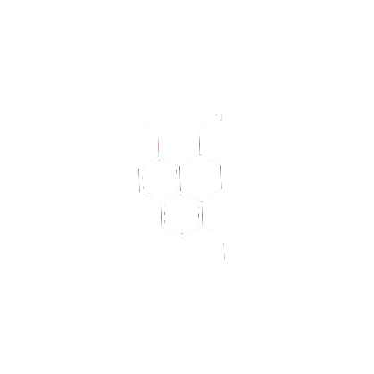 COc1ccc2ccc(OC)c3c2c1CCC3CN